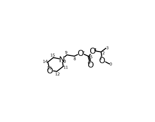 COC(C)OC(=O)OCCN1CCOCC1